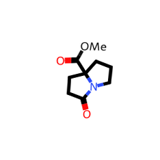 COC(=O)C12CCCN1C(=O)CC2